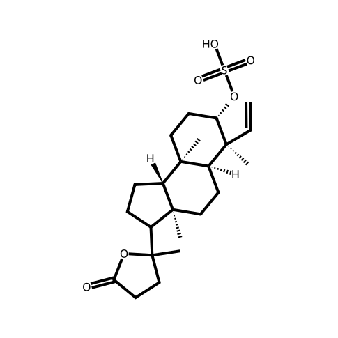 C=C[C@]1(C)[C@@H](OS(=O)(=O)O)CC[C@@]2(C)[C@@H]1CC[C@@]1(C)C(C3(C)CCC(=O)O3)CC[C@H]21